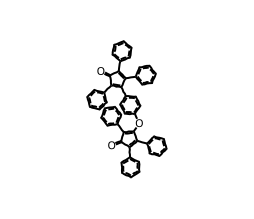 O=C1C(c2ccccc2)=C(Oc2ccc(C3=C(c4ccccc4)C(=O)C(c4ccccc4)=C3c3ccccc3)cc2)C(c2ccccc2)=C1c1ccccc1